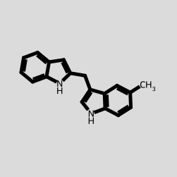 Cc1ccc2[nH]cc(Cc3cc4ccccc4[nH]3)c2c1